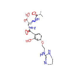 CC(C)C(=O)N[C@@H](CNC(=O)c1ccc(OCCNC2=NCCCN2)cc1O)C(=O)O